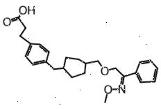 CON=C(COCC1CCC(Cc2ccc(CCC(=O)O)cc2)CC1)c1ccccc1